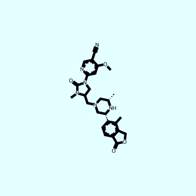 COc1cc(N2CC(CN3C[C@@H](c4ccc5c(c4C)COC5=O)N[C@@H](C)C3)N(C)C2=O)ncc1C#N